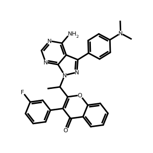 CC(c1oc2ccccc2c(=O)c1-c1cccc(F)c1)n1nc(-c2ccc(N(C)C)cc2)c2c(N)ncnc21